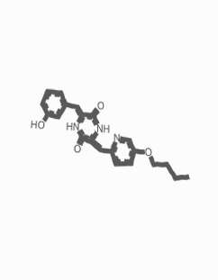 CCCCOc1ccc(C=c2[nH]c(=O)c(=Cc3cccc(O)c3)[nH]c2=O)nc1